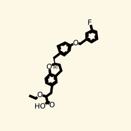 CCOC(Cc1ccc2c(c1)CC[C@H](Cc1ccc(OCc3cccc(F)c3)cc1)O2)C(=O)O